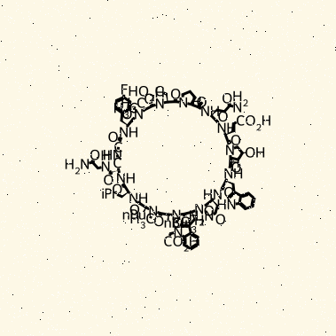 CCCC[C@H]1C(=O)N(C)[C@@H](CCCC)C(=O)N[C@@H](CC(C)C)C(=O)N[C@H](C(=O)NCC(N)=O)CNCC(=O)N[C@@H](Cc2ccc(F)cc2)C(=O)N(C)[C@@H](C)C(=O)N[C@@H](CC(=O)O)C(=O)N2CCC[C@H]2C(=O)N[C@@H](CCC(N)=O)C(=O)N[C@@H](CCC(=O)O)C(=O)N2C[C@H](O)C[C@H]2C(=O)N[C@@H](Cc2c[nH]c3ccccc23)C(=O)N[C@@H](CC(N)=O)C(=O)N[C@@H](Cc2cn(CC(=O)O)c3ccccc23)C(=O)N1C